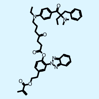 C=C(C)C(=O)OCCc1ccc(OC(=O)CCC(=O)CCCN(CC)c2ccc(C(=O)C(CC)(Cc3ccccc3)N(C)C)cc2)c(-n2nc3ccccc3n2)c1